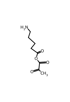 CC(=O)C(=O)OC(=O)CCCCN